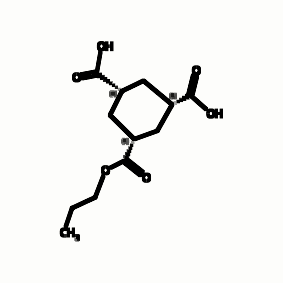 CCCOC(=O)[C@@H]1C[C@H](C(=O)O)C[C@H](C(=O)O)C1